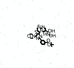 CN(Cc1cc2nc(-c3cccc(C(=O)OC(C)(C)C)c3)nc(N3CCOCC3)c2s1)c1ncc(C(O)NO)cn1